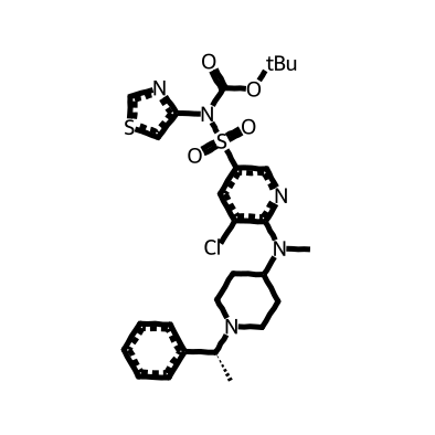 C[C@H](c1ccccc1)N1CCC(N(C)c2ncc(S(=O)(=O)N(C(=O)OC(C)(C)C)c3cscn3)cc2Cl)CC1